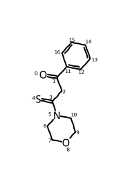 O=C(CC(=S)N1CCOCC1)c1ccccc1